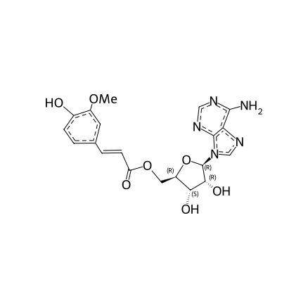 COc1cc(C=CC(=O)OC[C@H]2O[C@@H](n3cnc4c(N)ncnc43)[C@H](O)[C@@H]2O)ccc1O